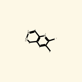 Cc1cc2c(nc1I)C=NOC2